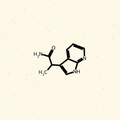 CC(C(N)=O)c1c[nH]c2ncccc12